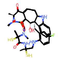 CN(C)C(C)(S)C(=O)NC(C)(S)CNc1ccc(F)cc1C[C@@]12c3ccccc3NC1CCC1C(=O)[C@]3(C)SS[C@]1(C(=O)N3C)[C@H]2O